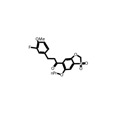 CCCOc1cc2c(cc1C(=O)CCc1ccc(OC)c(F)c1)OCS2(=O)=O